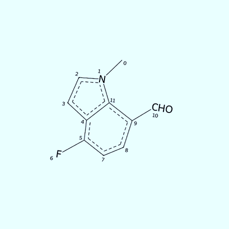 Cn1ccc2c(F)ccc(C=O)c21